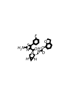 Nc1nc(C(=O)N2C[C@@H]3C[C@@H]3[C@H]2CNC(=O)Oc2cccc3c2OCC3)c(-c2cccc(F)c2)s1